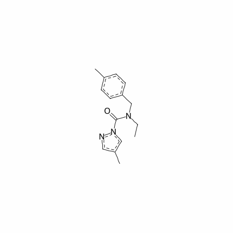 CCN(Cc1ccc(C)cc1)C(=O)n1cc(C)cn1